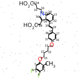 Cc1cc(F)c(F)cc1OCCCCOc1ccc(C=Cc2cccc3c2c(CC(=O)O)cn3CCCC(=O)O)cc1